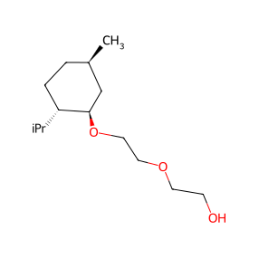 CC(C)[C@@H]1CC[C@@H](C)C[C@H]1OCCOCCO